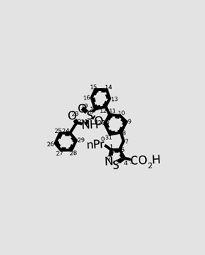 CCCc1nsc(C(=O)O)c1Cc1ccc(-c2ccccc2S(=O)(=O)NC(=O)c2ccccc2)cc1